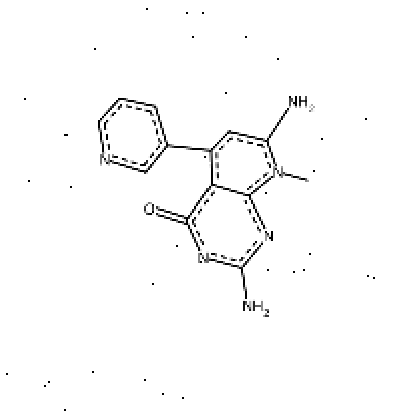 Cn1c(N)cc(-c2cccnc2)c2c(=O)nc(N)nc1-2